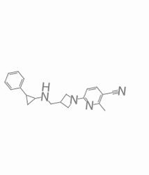 Cc1nc(N2CC(CNC3CC3c3ccccc3)C2)ccc1C#N